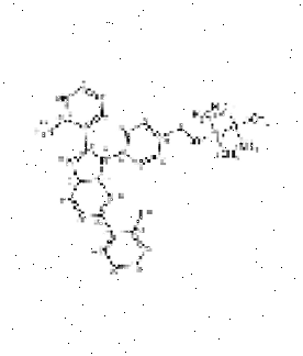 CC(C)(C)[Si](C)(C)OCc1ccc(-n2c(-c3cccnc3N)nc3ccc(-c4ncccc4F)nc32)cc1